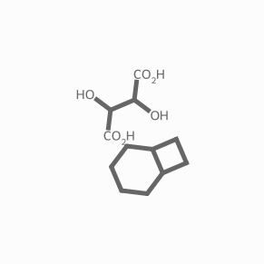 C1CCC2CCC2C1.O=C(O)C(O)C(O)C(=O)O